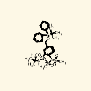 CC(C)(C)NS(=O)(=O)c1cc(CO[Si](c2ccccc2)(c2ccccc2)C(C)(C)C)c#cc1N(S(C)(=O)=O)S(C)(=O)=O